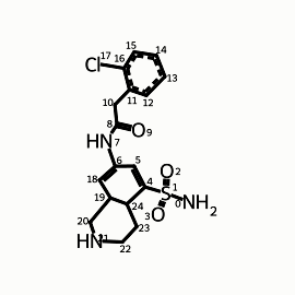 NS(=O)(=O)C1=CC(NC(=O)Cc2ccccc2Cl)=CC2CNCCC12